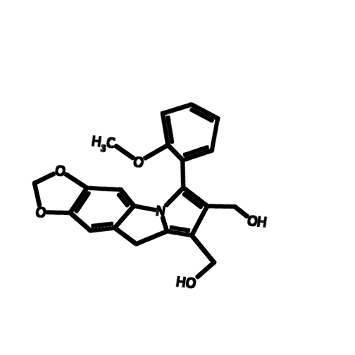 COc1ccccc1-c1c(CO)c(CO)c2n1-c1cc3c(cc1C2)OCO3